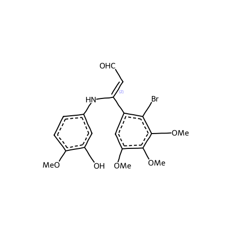 COc1ccc(N/C(=C\C=O)c2cc(OC)c(OC)c(OC)c2Br)cc1O